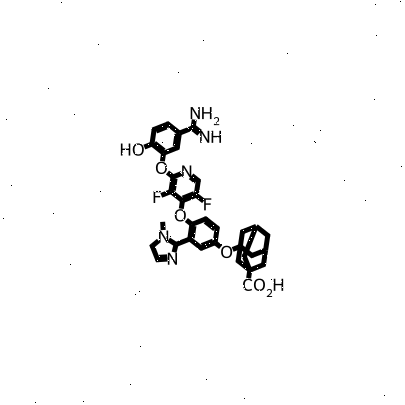 CN1CC=NC1c1cc(OC23CC4CC(C2)CC(C(=O)O)(C4)C3)ccc1Oc1c(F)cnc(Oc2cc(C(=N)N)ccc2O)c1F